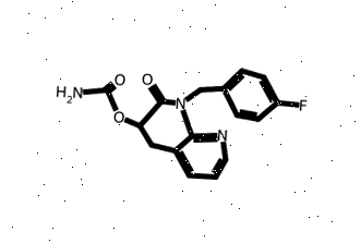 NC(=O)OC1Cc2cccnc2N(Cc2ccc(F)cc2)C1=O